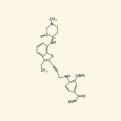 CNC(=O)c1ccc(NCC#Cc2sc3c(N[C@@H]4CCN(C)C[C@@H]4F)cccc3c2CC(F)(F)F)c(OC)c1